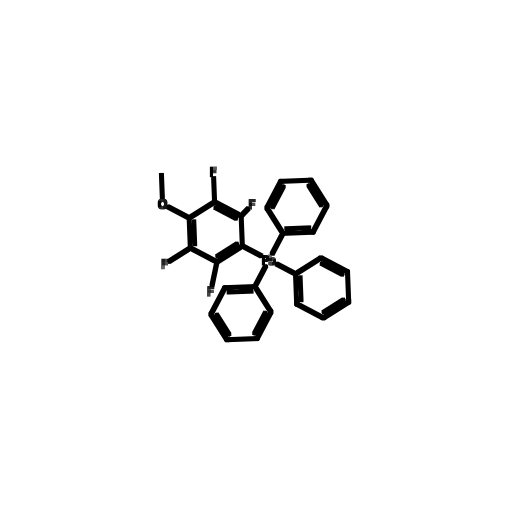 COc1c(F)c(F)[c]([Pb]([c]2ccccc2)([c]2ccccc2)[c]2ccccc2)c(F)c1F